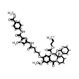 C=CCOC(=O)N1c2cc(OCCCC(=O)Nc3cn(C)c(C(=O)Nc4ccc(C(=O)OC)cc4)n3)c(OC)cc2C(=O)N2CCCC[C@H]2[C@@H]1OC1CCCCO1